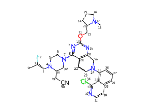 CC(F)=CN1CCN(c2nc(OCC3CCCN3C)nc3c2CCN(c2cccc4ccnc(Cl)c24)C3)CC1CC#N